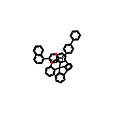 c1ccc(-c2ccc(N(c3ccc(-c4cccc5ccccc45)cc3)c3cccc4c3C3(c5ccccc5Oc5ccccc53)c3ccccc3-4)cc2)cc1